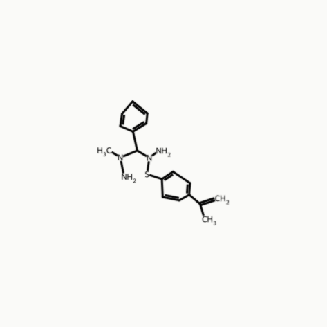 C=C(C)c1ccc(SN(N)C(c2ccccc2)N(C)N)cc1